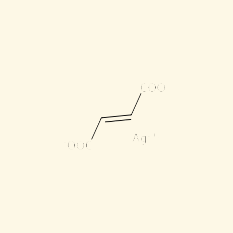 O=C([O-])C=CC(=O)[O-].[Ag+2]